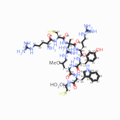 COC(CNC(=N)N)C[C@H](NC(=O)[C@@H](Cc1ccc(O)cc1)NC(=O)[C@H](CCCNC(=N)N)NC(=O)C(C)(C)NC(=O)[C@H](CS)NC(=O)[C@@H](N)CCCNC(=N)N)C(=O)N[C@H](Cc1c[nH]c2ccccc12)C(=O)N[C@@H](CS)C(=O)O